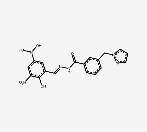 O=C(N/N=C/c1cc(N(O)O)cc([N+](=O)[O-])c1O)c1cccc(Cn2cccn2)c1